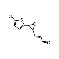 O=C/C=C/C1OC1c1ccc(Cl)s1